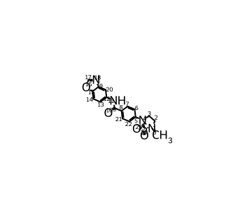 CN1CCN(c2ccc(C(=O)Nc3ccc4ocnc4c3)cc2)S1(=O)=O